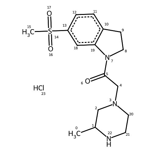 CC1CN(CC(=O)N2CCc3ccc(S(C)(=O)=O)cc32)CCN1.Cl